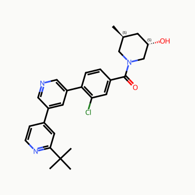 C[C@H]1C[C@H](O)CN(C(=O)c2ccc(-c3cncc(-c4ccnc(C(C)(C)C)c4)c3)c(Cl)c2)C1